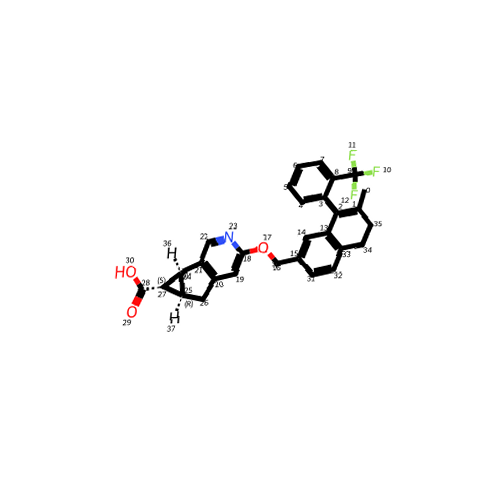 CC1=C(c2ccccc2C(F)(F)F)c2cc(COc3cc4c(cn3)[C@H]3[C@@H](C4)[C@@H]3C(=O)O)ccc2CC1